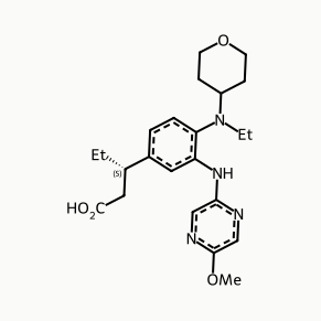 CC[C@@H](CC(=O)O)c1ccc(N(CC)C2CCOCC2)c(Nc2cnc(OC)cn2)c1